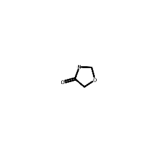 O=C1COC[N]1